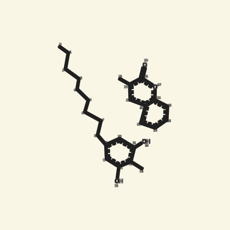 CCCCCCCCCc1cc(O)c(C)c(O)c1.Cc1cc2ccccc2oc1=O